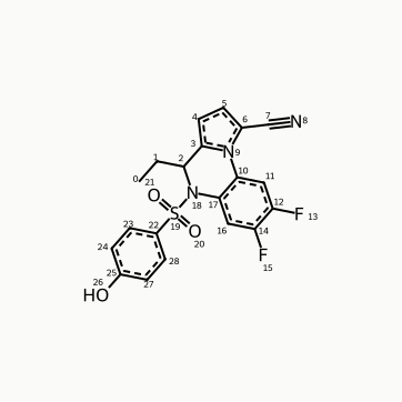 CCC1c2ccc(C#N)n2-c2cc(F)c(F)cc2N1S(=O)(=O)c1ccc(O)cc1